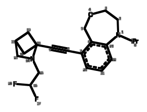 CC(C)N1CCOCc2c(C#CC34CC(CN3CC(F)F)C4)cccc21